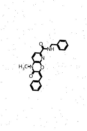 CN1C(=O)C(=Cc2ccccc2)Oc2nc(C(=O)NCc3ccccc3)ccc21